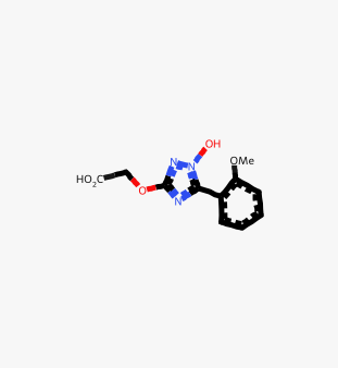 COc1ccccc1-c1nc(OCC(=O)O)nn1O